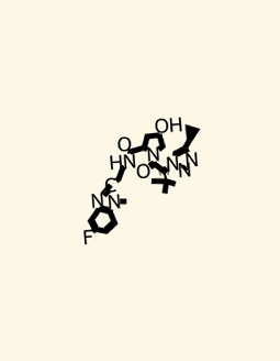 Cn1c(CCCNC(=O)C2CC(O)CN2C(=O)[C@@H](n2cc(C3CC3)nn2)C(C)(C)C)nc2cc(F)ccc21